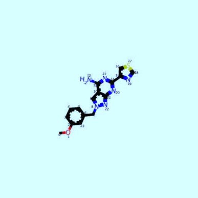 COc1cccc(Cn2cc3c(N)nc(-c4cscn4)nc3n2)c1